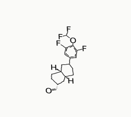 O=C[C@@H]1CC[C@@H]2CC(c3cc(F)c(OC(F)F)c(F)c3)CC[C@@H]2C1